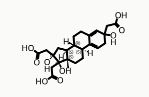 C[C@]12CC[C@@H]3C4=CCC(O)(CC(=O)O)C=C4CC[C@H]3[C@@H]1C[C@](O)(CC(=O)O)[C@@]2(O)CC(=O)O